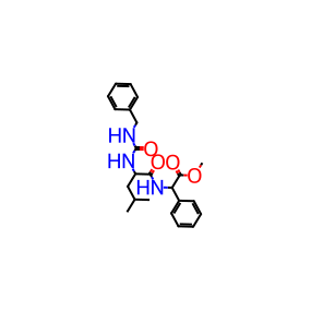 COC(=O)C(NC(=O)C(CC(C)C)NC(=O)NCc1ccccc1)c1ccccc1